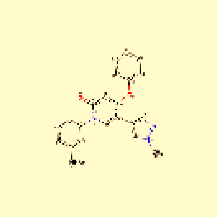 CC(=O)Nc1cccc(-n2cc(-c3cnn(C)c3)c(Oc3ccccc3)cc2=O)c1